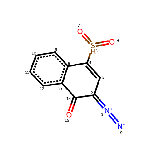 [N-]=[N+]=C1C=C([SH](=O)=O)c2ccccc2C1=O